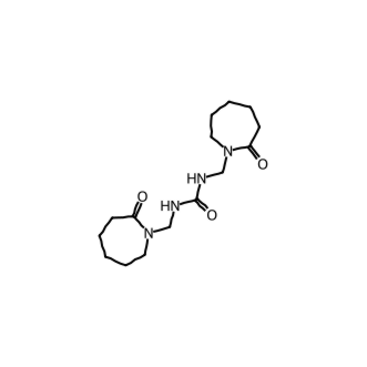 O=C(NCN1CCCCCC1=O)NCN1CCCCCC1=O